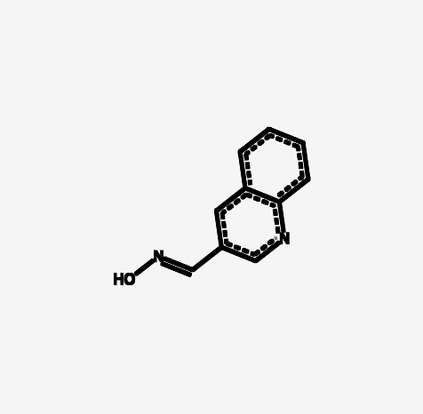 ON=Cc1cnc2ccccc2c1